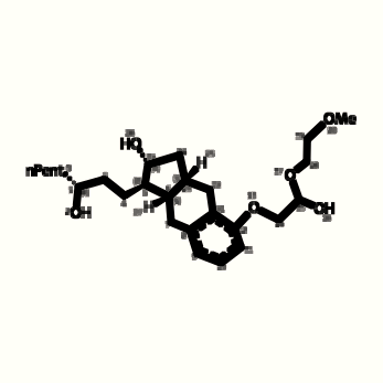 CCCCC[C@@H](O)CC[C@@H]1[C@H]2Cc3cccc(OCC(O)OCCOC)c3C[C@H]2C[C@H]1O